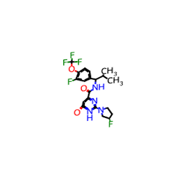 CC(C)C(NC(=O)c1cc(=O)[nH]c(N2CC[C@@H](F)C2)n1)c1ccc(OC(F)(F)F)c(F)c1